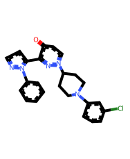 O=c1ccn(C2CCN(c3cccc(Cl)c3)CC2)nc1-c1ccnn1-c1ccccc1